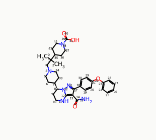 CC(C)(CN1CCC([C@@H]2CCNc3c(C(N)=O)c(-c4ccc(Oc5ccccc5)cc4)nn32)CC1)C1CCN(C(=O)O)CC1